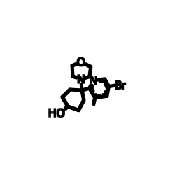 Cc1cc(Br)cnc1C1(N2CCOCC2)CCC(O)CC1